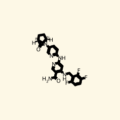 NC(=O)c1cnc(Nc2ccc(N3C(=O)[C@@H]4CC[C@H]3C4)cn2)cc1NCc1c(F)ccc(F)c1F